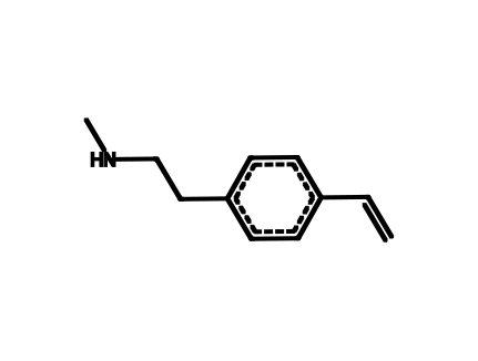 C=Cc1ccc(CCNC)cc1